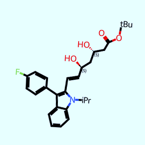 CC(C)n1c(C=C[C@@H](O)C[C@H](O)CC(=O)OC(C)(C)C)c(-c2ccc(F)cc2)c2ccccc21